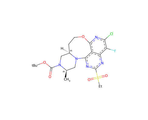 CCS(=O)(=O)c1nc2c3c(nc(Cl)c(F)c3n1)OCC[C@@H]1CN(C(=O)OC(C)(C)C)[C@H](C)CN21